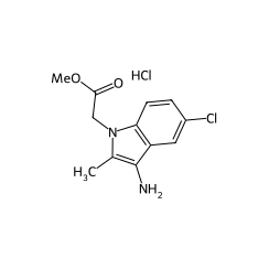 COC(=O)Cn1c(C)c(N)c2cc(Cl)ccc21.Cl